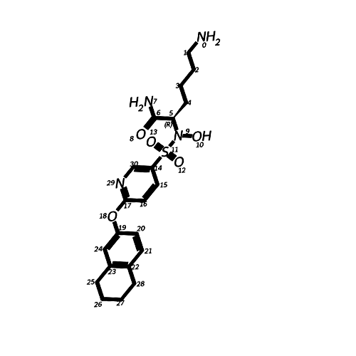 NCCCC[C@H](C(N)=O)N(O)S(=O)(=O)c1ccc(Oc2ccc3c(c2)CCCC3)nc1